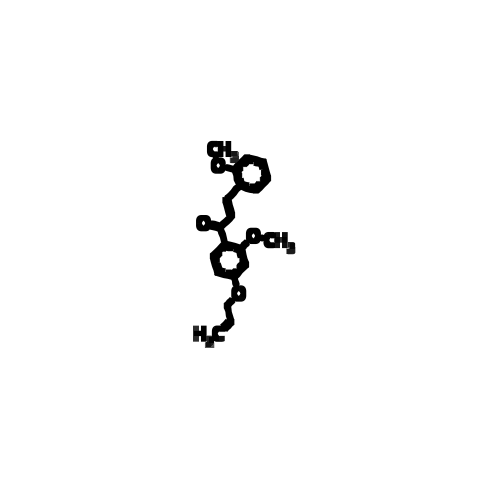 C=CCOc1ccc(C(=O)/C=C/c2ccccc2OC)c(OC)c1